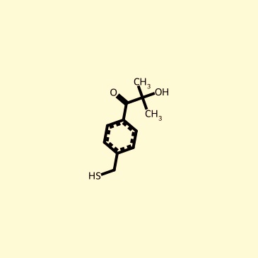 CC(C)(O)C(=O)c1ccc(CS)cc1